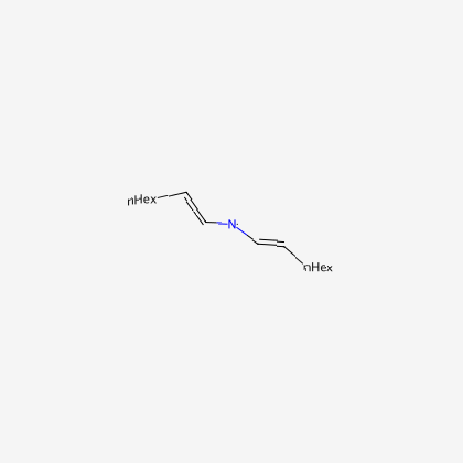 CCCCCC/C=C/[N]/C=C/CCCCCC